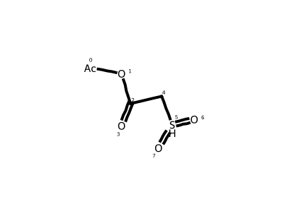 CC(=O)OC(=O)C[SH](=O)=O